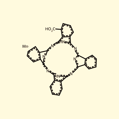 O=C(O)c1cccc2c3nc4nc(nc5[nH]c(nc6nc(nc([nH]3)c12)-c1ccccc1-6)c1ccccc51)-c1ccccc1-4.[Mn]